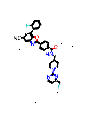 N#Cc1cc(-c2ccccc2F)c2oc(-c3ccc(C(=O)NCC4CCN(c5nccc(CF)n5)CC4)cc3)nc2c1